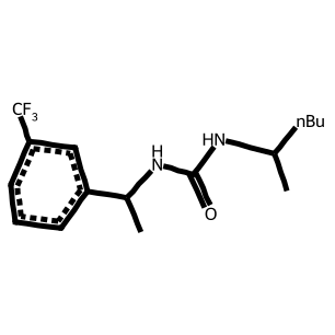 CCCCC(C)NC(=O)NC(C)c1cccc(C(F)(F)F)c1